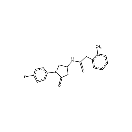 Cc1ccccc1CC(=O)NC1CC(=O)N(c2ccc(F)cc2)C1